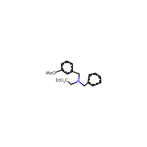 CCOC(=O)CN(Cc1ccccc1)Cc1cccc(OC)c1